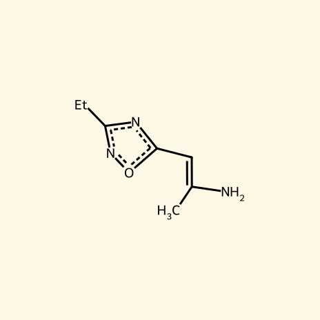 CCc1noc(/C=C(\C)N)n1